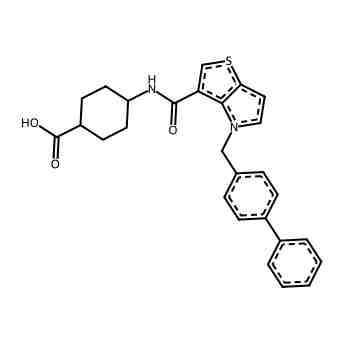 O=C(NC1CCC(C(=O)O)CC1)c1csc2ccn(Cc3ccc(-c4ccccc4)cc3)c12